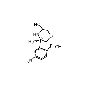 C[C@]1(c2cc(N)ccc2F)COCC(O)N1.Cl